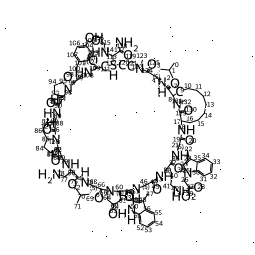 CC(C)C[C@@H]1NC(=O)C2CCCCCCCCC(NC(=O)[C@H](Cc3cn(CC(=O)O)c4ccccc34)NC(=O)[C@H](CCN)NC(=O)[C@H](Cc3c[nH]c4ccccc34)NC(=O)[C@@H]3C[C@@H](O)CN3C(=O)[C@H](CC(C)C)NC(=O)[C@@H](CN)NC(=O)[C@H]3CCC4CC[C@@H](NC(=O)[C@@H]5CCCN5C(=O)[C@H](Cc5ccc(O)cc5)NC(=O)C[SH](C(NC=O)C(N)=O)CCN(C)C1=O)C(=O)N43)C(=O)N2C